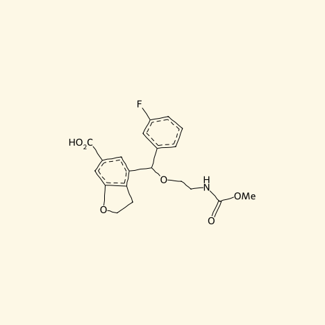 COC(=O)NCCOC(c1cccc(F)c1)c1cc(C(=O)O)cc2c1CCO2